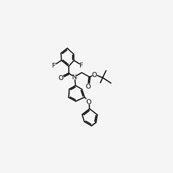 CC(C)(C)OC(=O)CN(C(=O)c1c(F)cccc1F)c1cccc(Oc2ccccc2)c1